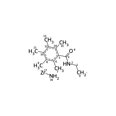 [CH2]CNC(=O)c1c(C)c(C)c(C)c(C)c1C.[NH2][Zr]